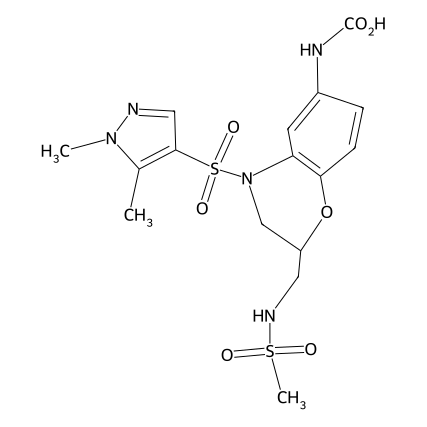 Cc1c(S(=O)(=O)N2CC(CNS(C)(=O)=O)Oc3ccc(NC(=O)O)cc32)cnn1C